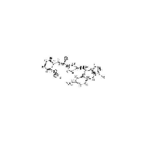 Cc1ncc(CN[C@@H]2CCN(C(=O)OCc3ccccc3OC(F)(F)F)C2)n1Cc1ccc(C#N)cc1